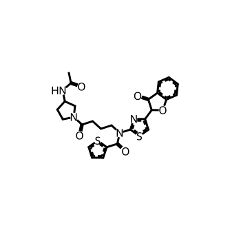 CC(=O)NC1CCN(C(=O)CCCN(C(=O)c2cccs2)c2nc(C3Oc4ccccc4C3=O)cs2)C1